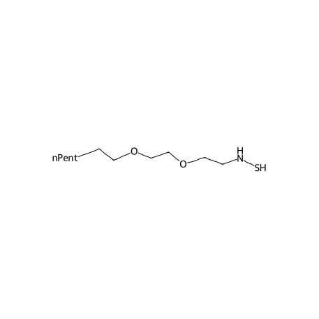 CCCCCCCOCCOCCNS